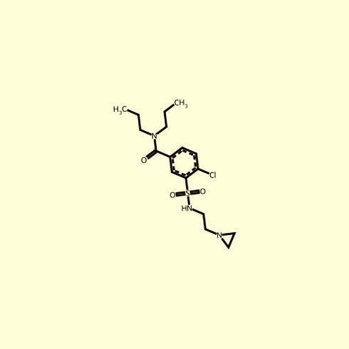 CCCN(CCC)C(=O)c1ccc(Cl)c(S(=O)(=O)NCCN2CC2)c1